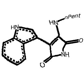 CCCCCNC1=C(c2c[nH]c3ccccc23)C(=O)NC1=O